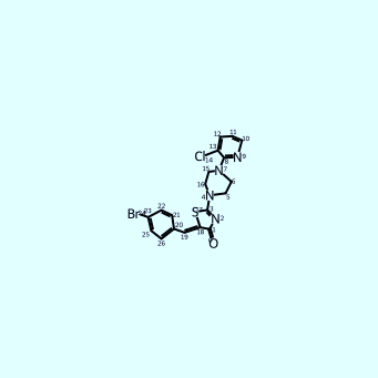 O=C1N=C(N2CCN(c3ncccc3Cl)CC2)S/C1=C\c1ccc(Br)cc1